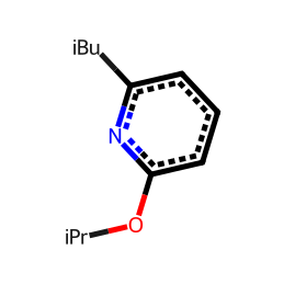 CCC(C)c1cccc(OC(C)C)n1